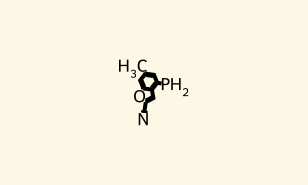 Cc1cc(P)c2cc(C#N)oc2c1